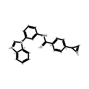 O=C(Nc1cccc(-n2cnc3ccccc32)c1)c1ccc(C2C=N2)cc1